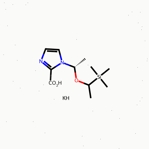 CC(O[C@@H](C)n1ccnc1C(=O)O)[Si](C)(C)C.[KH]